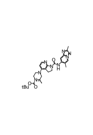 Cc1nc2cc(NC(=O)N3CCc4c(N5CCN(C(=O)OC(C)(C)C)[C@H](C)C5)ccnc43)c(C)cn2n1